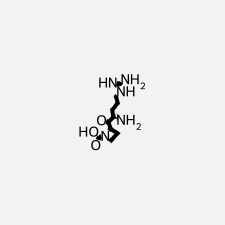 N=C(N)NCCC[C@H](N)C(=O)C1CCN1C(=O)O